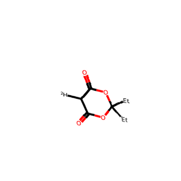 [2H]C1C(=O)OC(CC)(CC)OC1=O